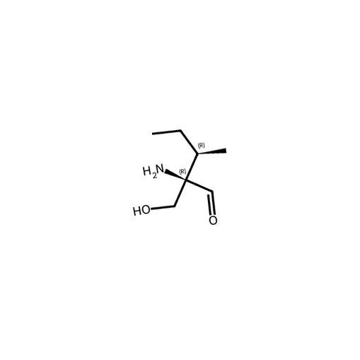 CC[C@@H](C)[C@](N)(C=O)CO